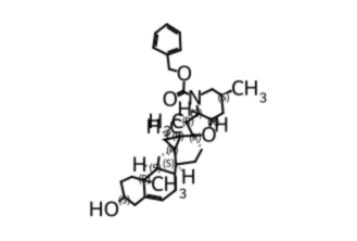 C[C@H]1C[C@H]2O[C@]3(CC[C@H]4C5CC=C6C[C@@H](O)CC[C@]6(C)[C@H]5C[C@@]45C[C@]53C)[C@H](C)[C@@H]2N(C(=O)OCc2ccccc2)C1